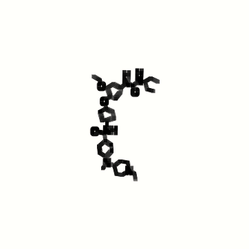 CCOc1cc(NC(=O)NC(CC)CC)ccc1Oc1ccc(NC(=O)c2ccc(N(C)C3CCN(CC)CC3)cc2)cc1